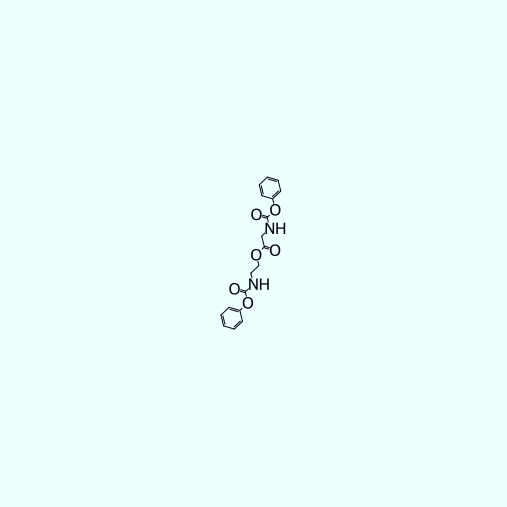 O=C(CNC(=O)Oc1ccccc1)OCCNC(=O)Oc1ccccc1